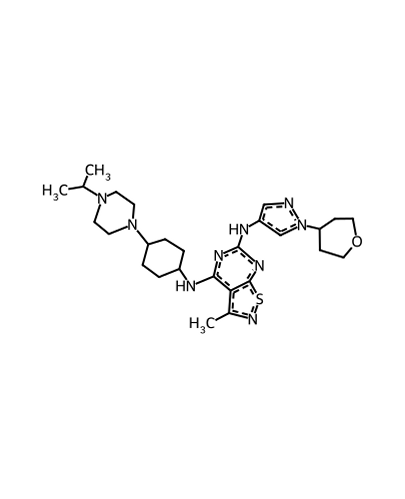 Cc1nsc2nc(Nc3cnn(C4CCOCC4)c3)nc(NC3CCC(N4CCN(C(C)C)CC4)CC3)c12